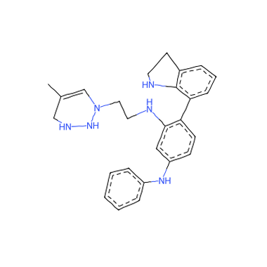 CC1=CN(CCNc2cc(Nc3ccccc3)ccc2-c2cccc3c2NCC3)NNC1